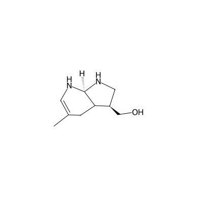 CC1=CN[C@H]2NC[C@@H](CO)C2C1